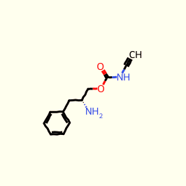 C#CNC(=O)OC[C@H](N)Cc1ccccc1